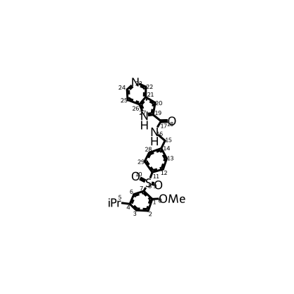 COc1ccc(C(C)C)cc1S(=O)(=O)c1ccc(CNC(=O)c2cc3cnccc3[nH]2)cc1